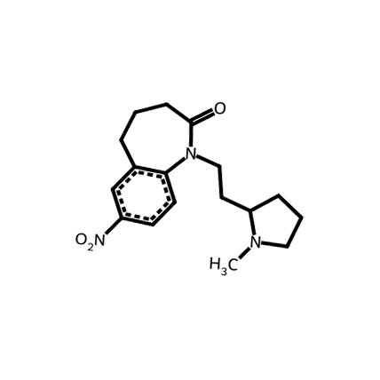 CN1CCCC1CCN1C(=O)CCCc2cc([N+](=O)[O-])ccc21